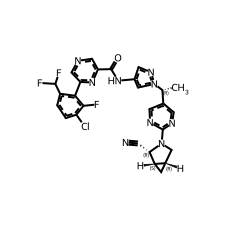 C[C@H](c1cnc(N2C[C@@H]3C[C@@H]3[C@@H]2C#N)nc1)n1cc(NC(=O)c2cncc(-c3c(C(F)F)ccc(Cl)c3F)n2)cn1